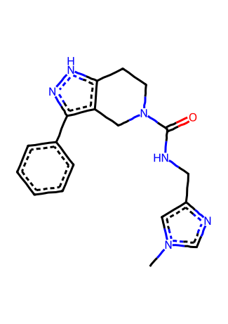 Cn1cnc(CNC(=O)N2CCc3[nH]nc(-c4ccccc4)c3C2)c1